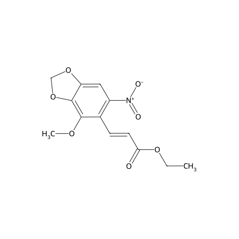 CCOC(=O)/C=C/c1c([N+](=O)[O-])cc2c(c1OC)OCO2